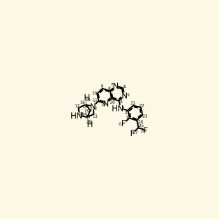 Fc1c(Nc2ncnc3ccc(N4C[C@@H]5C[C@H]4CN5)nc23)cccc1C(F)F